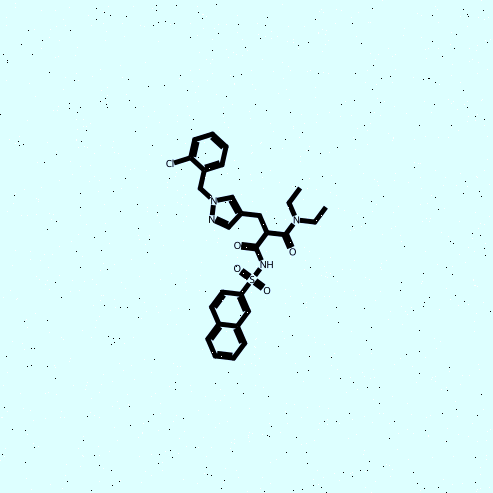 CCN(CC)C(=O)C(Cc1cnn(Cc2ccccc2Cl)c1)C(=O)NS(=O)(=O)c1ccc2ccccc2c1